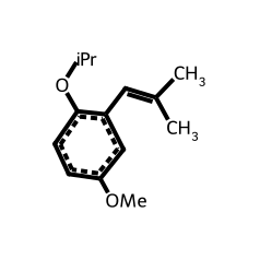 COc1ccc(OC(C)C)c(C=C(C)C)c1